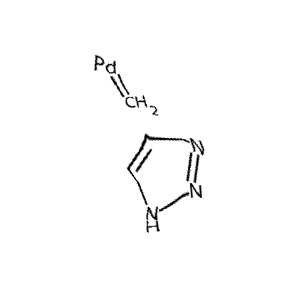 [CH2]=[Pd].c1c[nH]nn1